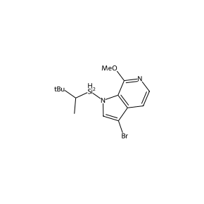 COc1nccc2c(Br)cn([SiH2]C(C)C(C)(C)C)c12